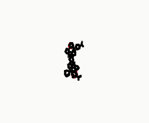 CC(C)c1ccc(N(c2ccccc2)c2ccc3c4cc5c(cc4n4c6cccc(C7CCCCC7)c6c2c34)c2ccc(N(c3ccccc3)c3ccc(C(C)C)cc3)c3c4c(C6CCCCC6)cccc4n5c23)cc1